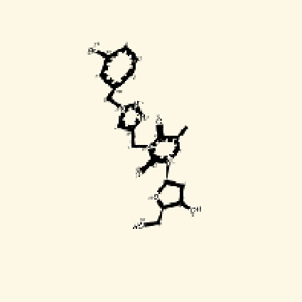 Cc1cn([C@H]2CC(O)[C@@H](CO)O2)c(=O)n(Cc2cn(Cc3cccc(Br)c3)nn2)c1=O